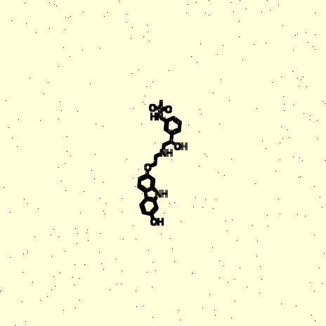 CS(=O)(=O)Nc1cccc([C@@H](O)CNCCOc2ccc3c(c2)[nH]c2cc(O)ccc23)c1